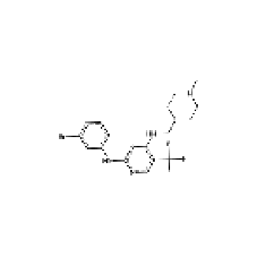 CN1CCC(CNc2nc(Nc3cccc(Br)c3)ncc2C(F)(F)F)CC1